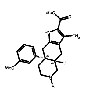 CCN1CC[C@@]2(c3cccc(OC)c3)Cc3[nH]c(C(=O)OCC(C)C)c(C)c3C[C@@H]2C1